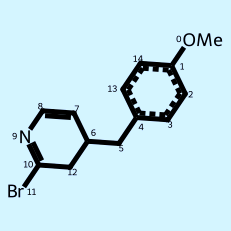 COc1ccc(CC2C=CN=C(Br)C2)cc1